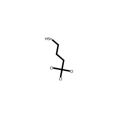 ClC(Cl)(Cl)CC[CH2][SnH]